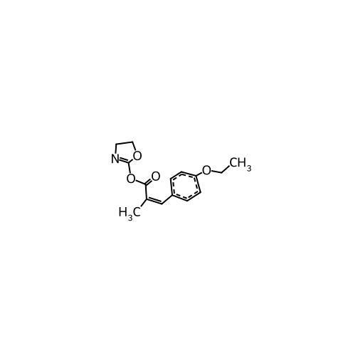 CCOc1ccc(C=C(C)C(=O)OC2=NCCO2)cc1